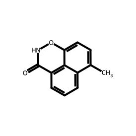 Cc1ccc2c3c(cccc13)C(=O)NO2